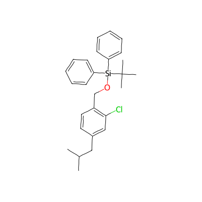 CC(C)Cc1ccc(CO[Si](c2ccccc2)(c2ccccc2)C(C)(C)C)c(Cl)c1